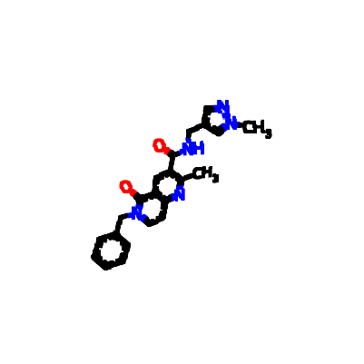 Cc1nc2ccn(Cc3ccccc3)c(=O)c2cc1C(=O)NCc1cnn(C)c1